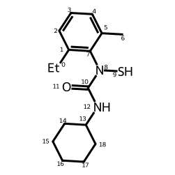 CCc1cccc(C)c1N(S)C(=O)NC1CCCCC1